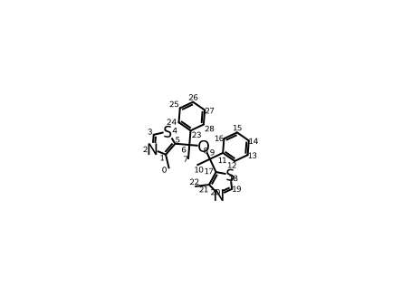 Cc1ncsc1C(C)(OC(C)(c1ccccc1)c1scnc1C)c1ccccc1